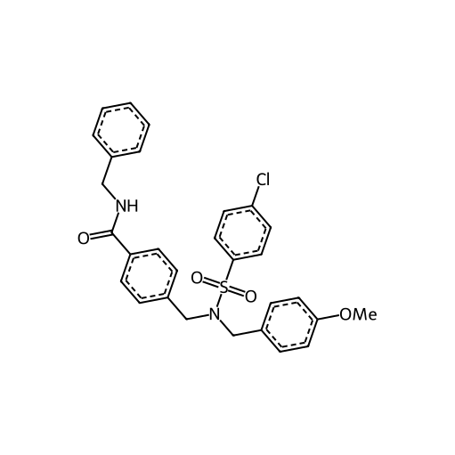 COc1ccc(CN(Cc2ccc(C(=O)NCc3ccccc3)cc2)S(=O)(=O)c2ccc(Cl)cc2)cc1